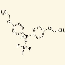 CCOc1ccc([PH2+]c2ccc(OCC)cc2)cc1.F[B-](F)(F)F